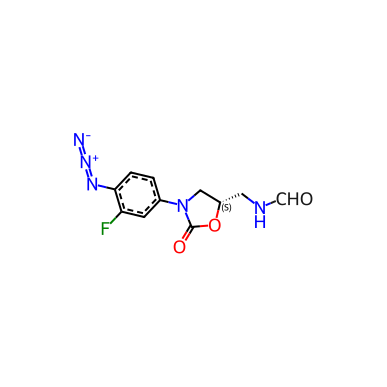 [N-]=[N+]=Nc1ccc(N2C[C@H](CNC=O)OC2=O)cc1F